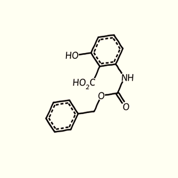 O=C(Nc1cccc(O)c1C(=O)O)OCc1ccccc1